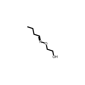 CCCC=NOCCO